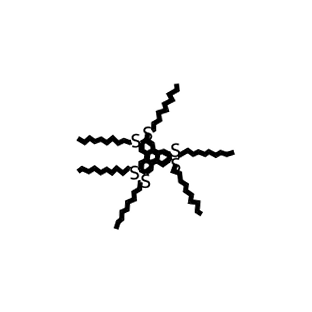 CCCCCCCCCCSc1cc2c3cc(SCCCCCCCCCC)c(SCCCCCCCCCC)cc3c3cc(SCCCCCCCCCC)c(SCCCCCCCCCC)cc3c2cc1SCCCCCCCCCC